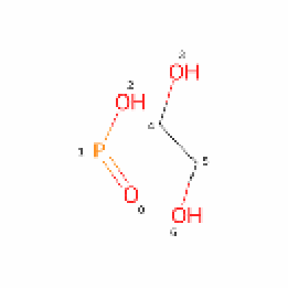 O=PO.OCCO